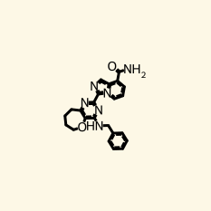 NC(=O)c1cccn2c(-c3nc4c(c(NCc5ccccc5)n3)OCCCC4)ncc12